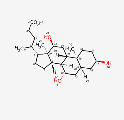 CC(CCC(=O)O)[C@H]1CC[C@H]2[C@@H]3[C@@H](O)C[C@@H]4C[C@H](O)CC[C@]4(C)[C@H]3C[C@H](O)[C@]12C